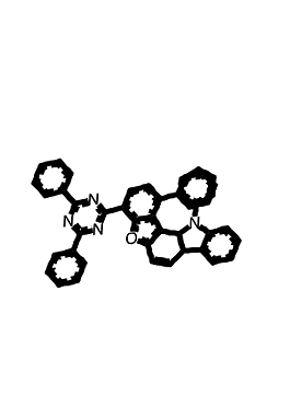 C1=CC2c3ccccc3N(c3ccccc3)C2c2c1oc1c(-c3nc(-c4ccccc4)nc(-c4ccccc4)n3)ccc(-c3ccccc3)c21